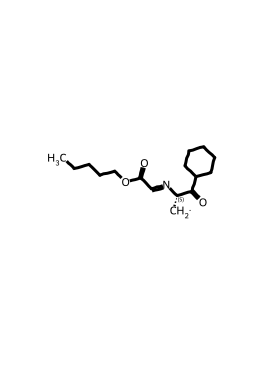 [CH2][C@H](N=CC(=O)OCCCCC)C(=O)C1CCCCC1